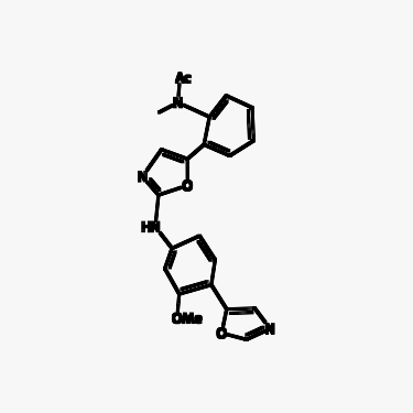 COc1cc(Nc2ncc(-c3ccccc3N(C)C(C)=O)o2)ccc1-c1cnco1